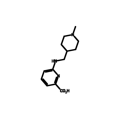 CN1CCC(CNc2cccc(C(=O)O)n2)CC1